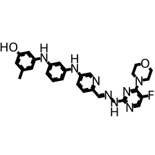 Cc1cc(O)cc(Nc2cccc(Nc3ccc(/C=N/Nc4ncc(F)c(N5CCOCC5)n4)nc3)c2)c1